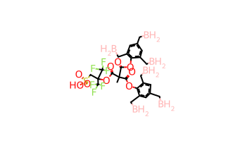 BCc1cc(CB)c(OC(=O)C(C)(C(=O)Oc2c(CB)cc(CB)cc2CB)C(=O)OC(CS(=O)(=O)O)(C(F)(F)F)C(F)(F)F)c(CB)c1